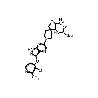 Cc1nccc(Oc2n[nH]c3nc(N4CCC5(CC4)CO[C@@H](C)[C@H]5N[S+]([O-])C(C)(C)C)cnc23)c1Cl